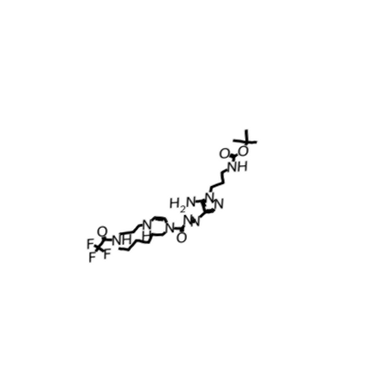 CCCCCCN(/C=C\NCCCNC(=O)C(F)(F)F)C(=O)/N=N/c1cnn(CCCNC(=O)OC(C)(C)C)c1N